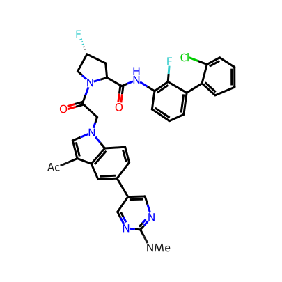 CNc1ncc(-c2ccc3c(c2)c(C(C)=O)cn3CC(=O)N2C[C@H](F)CC2C(=O)Nc2cccc(-c3ccccc3Cl)c2F)cn1